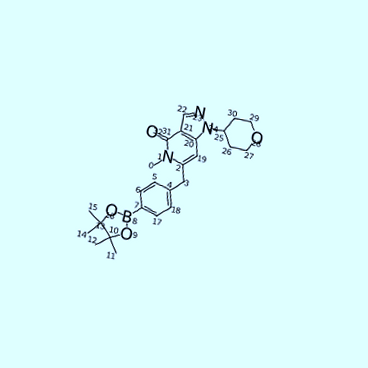 Cn1c(Cc2ccc(B3OC(C)(C)C(C)(C)O3)cc2)cc2c(cnn2C2CCOCC2)c1=O